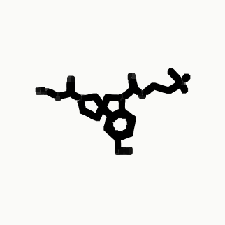 CC(C)(C)OC(=O)N1CCC2(C1)CN(C(=O)OCC[Si](C)(C)C)c1ccc(C=O)cc12